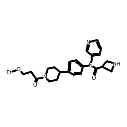 CCOCCC(=O)N1CCC(c2ccc(N(C(=O)C3CNC3)c3cccnc3)cc2)CC1